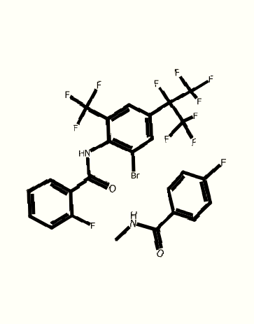 CNC(=O)c1ccc(F)cc1.O=C(Nc1c(Br)cc(C(F)(C(F)(F)F)C(F)(F)F)cc1C(F)(F)F)c1ccccc1F